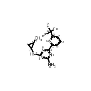 CC1CC1Nc1nc(N)nc(-c2cccc(C(F)(F)F)n2)n1